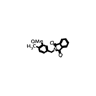 COc1cc(CN2C(=O)c3ccccc3C2=O)ccc1C